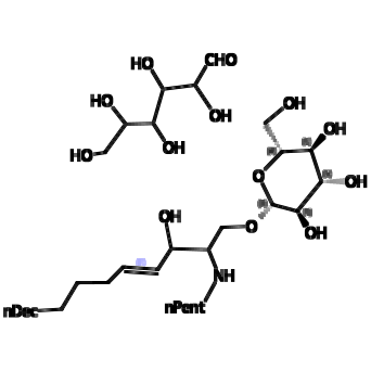 CCCCCCCCCCCCC/C=C/C(O)C(CO[C@@H]1O[C@H](CO)[C@@H](O)[C@H](O)[C@H]1O)NCCCCC.O=CC(O)C(O)C(O)C(O)CO